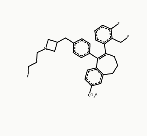 O=C(O)c1ccc2c(c1)CCCC(c1cccc(F)c1CF)=C2c1ccc(CC2CN(CCCF)C2)cc1